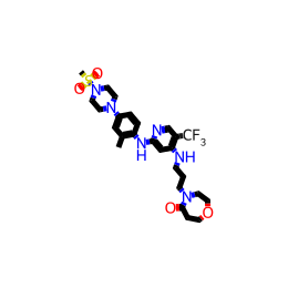 Cc1cc(N2CCN(S(C)(=O)=O)CC2)ccc1Nc1cc(NCCCN2CCOCCC2=O)c(C(F)(F)F)cn1